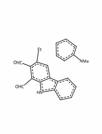 CCc1cc2c([nH]c3ccccc32)c(C=O)c1C=O.CNc1ccccc1